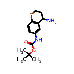 CC(C)(C)OC(=O)Nc1ccc2c(c1)C(N)CCS2